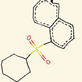 O=S(=O)(c1cccc2ccccc12)C1CCCCC1